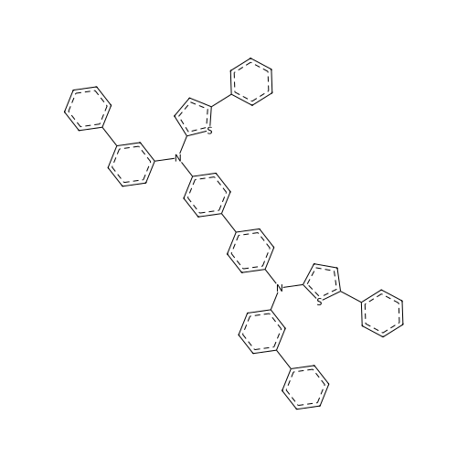 c1ccc(-c2cccc(N(c3ccc(-c4ccc(N(c5cccc(-c6ccccc6)c5)c5ccc(-c6ccccc6)s5)cc4)cc3)c3ccc(-c4ccccc4)s3)c2)cc1